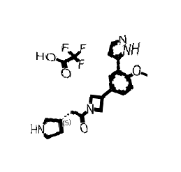 COc1ccc(C2CN(C(=O)C[C@@H]3CCNC3)C2)cc1-c1ccn[nH]1.O=C(O)C(F)(F)F